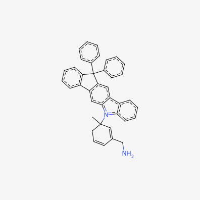 CC1(n2c3ccccc3c3cc4c(cc32)-c2ccccc2C4(c2ccccc2)c2ccccc2)C=C(CN)C=CC1